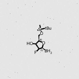 B[C@@H]1O[C@H](CO[Si](C)(C)C(C)(C)C)C(O)C1F